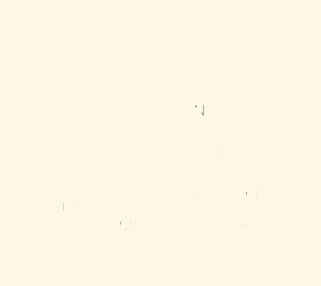 CC(C)OCC1(CN2C3CCC2CC(=O)C3)CC1